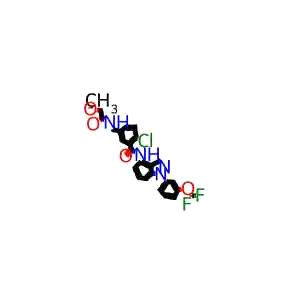 COCC(=O)NCc1ccc(Cl)c(C(=O)Nc2cccc3c2cnn3-c2cccc(OC(F)F)c2)c1